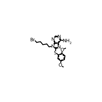 COc1ccc(OC)c(Sc2nc3c(N)ncnc3n2CCCCCBr)c1